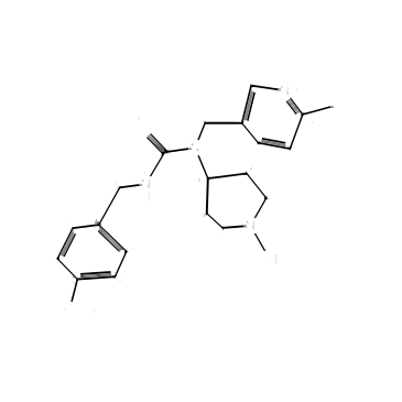 CC(C)COc1ccc(CNC(=O)N(Cc2ccc(F)nc2)C2CCN(C)CC2)cc1